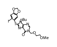 CCCCn1c(Sc2cc3c(cc2I)OCO3)nc2c(=O)n(COCCOC)cnc21